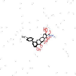 N#Cc1ccc(-c2ccc(O)c3c2CC2CC4CC(O)=C(C(N)=O)C(O)(O)C4C(O)=C2C3=O)cc1